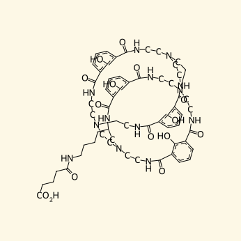 O=C(O)CCCC(=O)NCCCCC1CN2CCNC(=O)c3cccc(c3O)C(=O)NCCN(CCNC(=O)c3cccc(c3O)C(=O)N1)CCN1CCNC(=O)c3cccc(c3O)C(=O)NCCN(CCNC(=O)c3cccc(c3O)C(=O)NCC1)CC2